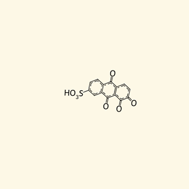 O=c1ccc2c(=O)c3ccc(S(=O)(=O)O)cc3c(=O)c=2c1=O